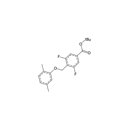 Cc1ccc(C)c(OCc2c(F)cc(C(=O)OC(C)(C)C)cc2F)c1